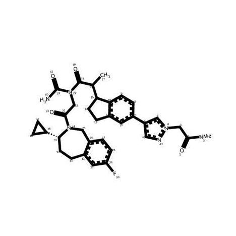 CNC(=O)Cn1cc(-c2ccc3c(c2)CCC3C(C)C(=O)N(CC(=O)N2Cc3ccc(F)cc3CC[C@@H]2C2CC2)C(N)=O)cn1